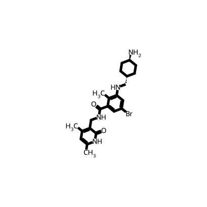 Cc1cc(C)c(CNC(=O)c2cc(Br)cc(NC[C@H]3CC[C@H](N)CC3)c2C)c(=O)[nH]1